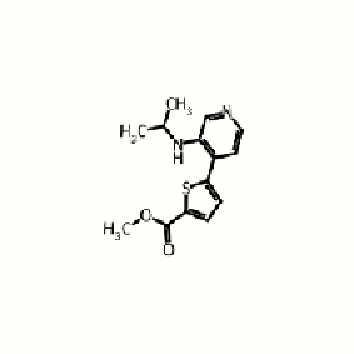 COC(=O)c1ccc(-c2ccncc2NC(C)C)s1